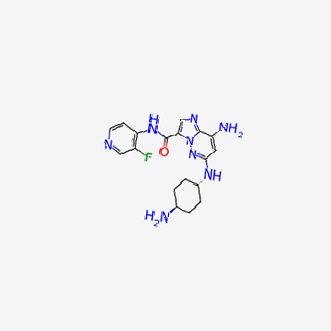 Nc1cc(N[C@H]2CC[C@H](N)CC2)nn2c(C(=O)Nc3ccncc3F)cnc12